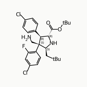 CC(C)(C)C[C@@H]1N[C@@H](C(=O)OC(C)(C)C)[C@H](c2ccc(Cl)cc2)[C@@]1(CN)c1ccc(Cl)cc1F